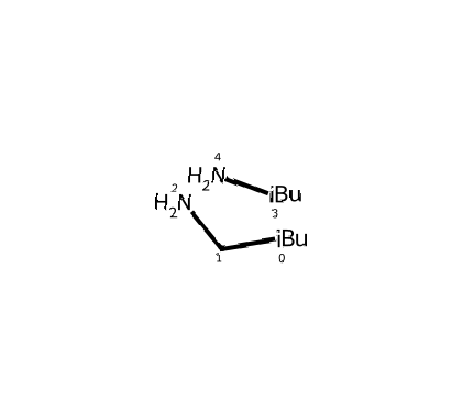 CCC(C)CN.CCC(C)N